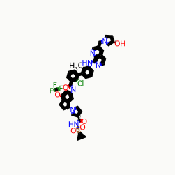 Cc1c(Nc2nccc3cc(CN4CC[C@@H](O)C4)cnc23)cccc1-c1cccc(-c2nc3cc4c(c(OC(F)(F)F)c3o2)CC[C@H]4N2CC[C@@H](C(=O)NS(=O)(=O)C3CC3)C2)c1Cl